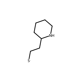 [S]CCC1CCCCN1